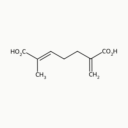 C=C(CCC=C(C)C(=O)O)C(=O)O